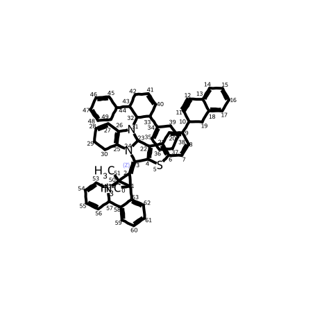 CC12/C(=C3\c4sc5ccc(C6C#Cc7ccccc7C6)cc5c4C4N3C3=C(C=CCC3)N4C3C(C4=CCCCC4)C=CCC3C3C=CC=CC3)C1(C)N1C=CC=CC1c1ccccc12